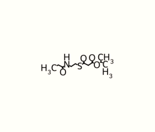 CCC(=O)NCCSC(=O)CC(=O)OC(C)C